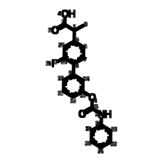 CC(C(=O)O)c1ccc(-c2cccc(OC(=O)Nc3ccccc3)c2)c(F)c1